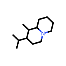 CC(C)C1CCN2CCCCC2C1C